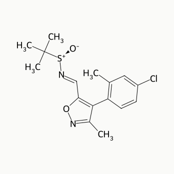 Cc1cc(Cl)ccc1-c1c(C)noc1/C=N/[S@+]([O-])C(C)(C)C